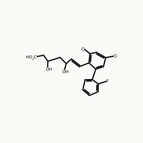 O=C(O)CC(O)CC(O)C=Cc1c(Cl)cc(Cl)cc1-c1ccccc1F